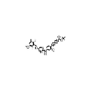 COc1cc(Nc2ncc(OCc3c(F)c(C)cc(OC)c3F)cn2)ccc1N1CC2(CN(C(=O)OC(C)(C)C)C2)C1